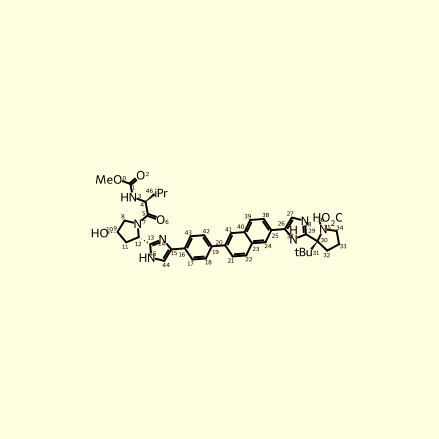 COC(=O)N[C@H](C(=O)N1C[C@@H](O)C[C@H]1c1nc(-c2ccc(-c3ccc4cc(-c5cnc([C@@]6(C(C)(C)C)CCCN6C(=O)O)[nH]5)ccc4c3)cc2)c[nH]1)C(C)C